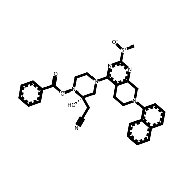 C[S+]([O-])c1nc2c(c(N3CCN(OC(=O)c4ccccc4)[C@](O)(CC#N)C3)n1)CCN(c1cccc3ccccc13)C2